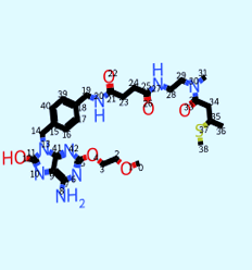 COCCOc1nc(N)c2nc(O)n(Cc3ccc(CNC(=O)CCC(=O)NCCN(C)C(=O)CC(C)SC)cc3)c2n1